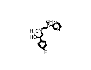 CN(CCN(C)c1cnccn1)CC(O)c1ccc(F)cc1